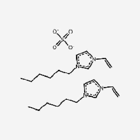 C=Cn1cc[n+](CCCCCC)c1.C=Cn1cc[n+](CCCCCC)c1.O=S(=O)([O-])[O-]